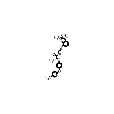 C[C@@H](Oc1ccc(Oc2ccc(C(F)(F)F)cn2)cc1)C(=O)NCCOc1cccc2c1OC(C)(C)C2